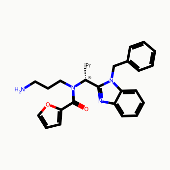 CC(C)[C@H](c1nc2ccccc2n1Cc1ccccc1)N(CCCN)C(=O)c1ccco1